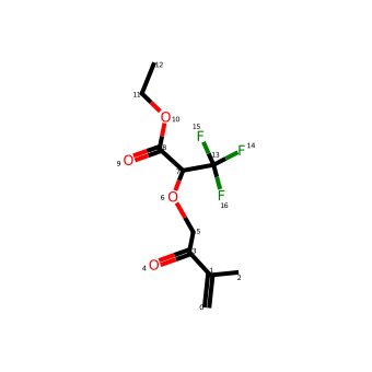 C=C(C)C(=O)COC(C(=O)OCC)C(F)(F)F